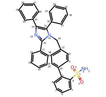 NS(=O)(=O)c1ccccc1-c1ccc(Cn2c(-c3ccccc3)nc(-c3ccccc3)c2-c2ccccc2)cc1